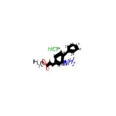 COC(=O)CCc1ccc(-c2ccccc2)c(N)c1.Cl